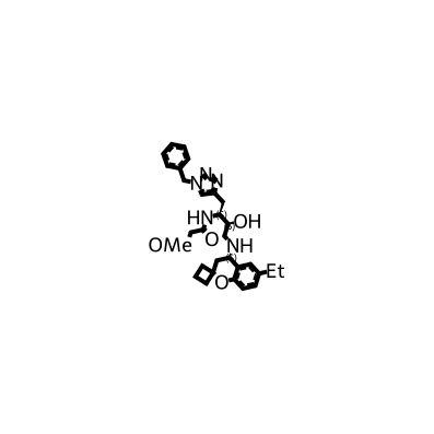 CCc1ccc2c(c1)[C@@H](NC[C@H](O)[C@H](Cc1cn(Cc3ccccc3)nn1)NC(=O)COC)CC1(CCC1)O2